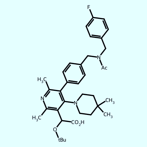 CC(=O)N(Cc1ccc(F)cc1)Cc1ccc(-c2c(C)nc(C)c(C(OC(C)(C)C)C(=O)O)c2N2CCC(C)(C)CC2)cc1